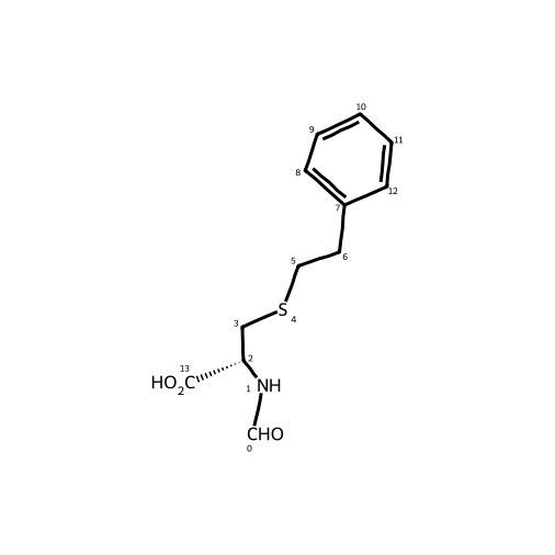 O=CN[C@@H](CSCCc1ccccc1)C(=O)O